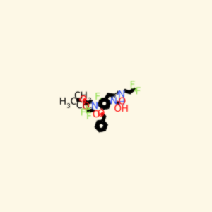 CC(C)(C)OC(=O)CN(C(=O)C(F)(F)F)c1c(OCc2ccccc2)cc2c(c1F)C[C@H](CNCCC(F)F)N2C(=O)O